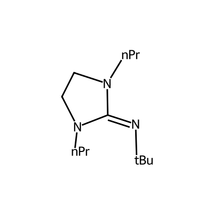 CCCN1CCN(CCC)C1=NC(C)(C)C